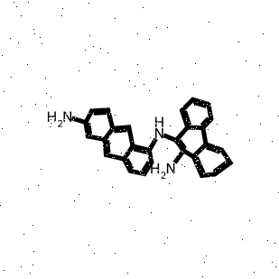 Nc1ccc2cc3c(Nc4c(N)c5ccccc5c5ccccc45)cccc3cc2c1